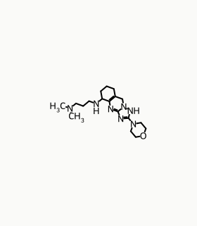 CN(C)CCCNC1CCCC2=C1N=C1N=C(N3CCOCC3)NN1C2